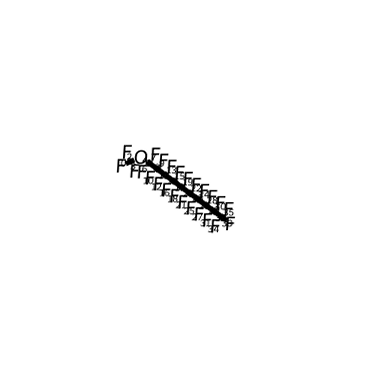 FC(F)(F)OC(F)(F)C(F)(F)C(F)(F)C(F)(F)C(F)(F)C(F)(F)C(F)(F)C(F)(F)C(F)(F)C(F)(F)F